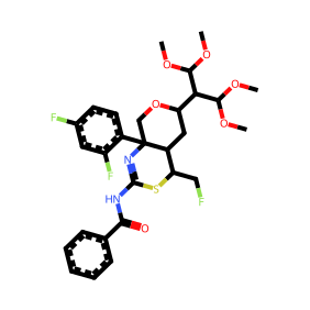 COC(OC)C(C1CC2C(CF)SC(NC(=O)c3ccccc3)=NC2(c2ccc(F)cc2F)CO1)C(OC)OC